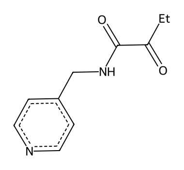 CCC(=O)C(=O)NCc1ccncc1